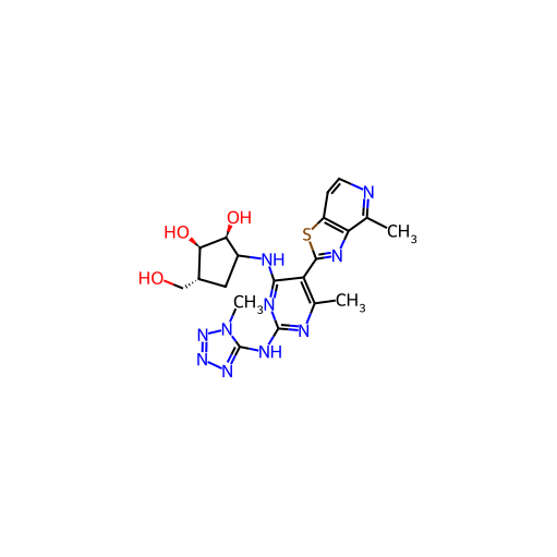 Cc1nc(Nc2nnnn2C)nc(NC2C[C@H](CO)[C@@H](O)[C@H]2O)c1-c1nc2c(C)nccc2s1